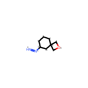 N=N[C]1CCCC2(COC2)C1